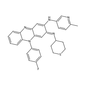 Cc1ccc(Nc2cc3nc4ccccc4n(-c4ccc(F)cc4)c-3cc2=NC2CCSCC2)cn1